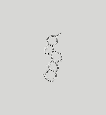 Cc1ccc2ccc3c4cc5ccccc5cc4ccc3c2c1